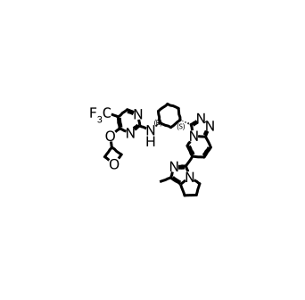 Cc1nc(-c2ccc3nnc([C@H]4CCC[C@@H](Nc5ncc(C(F)(F)F)c(OC6COC6)n5)C4)n3c2)n2c1CCC2